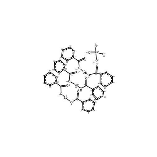 O=C([O][Al+][O]C(=O)c1ccccc1)c1ccccc1.O=C([O][Al+][O]C(=O)c1ccccc1)c1ccccc1.O=C([O][Al+][O]C(=O)c1ccccc1)c1ccccc1.O=P([O-])([O-])[O-]